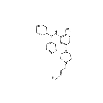 C/C=C/CN1CCN(c2ccc([N+](=O)[O-])c(NC(c3ccccc3)c3ccccc3)c2)CC1